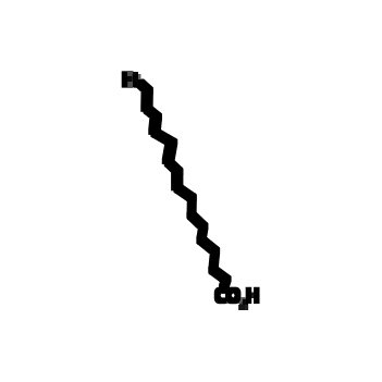 CC/C=C/C=C/C=CC=CCCCCCCCC(=O)O